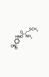 CSCC[C@H](N)C(=O)ONc1ccc([N+](=O)[O-])cc1